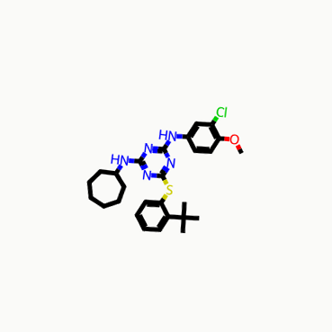 COc1ccc(Nc2nc(NC3CCCCCC3)nc(Sc3ccccc3C(C)(C)C)n2)cc1Cl